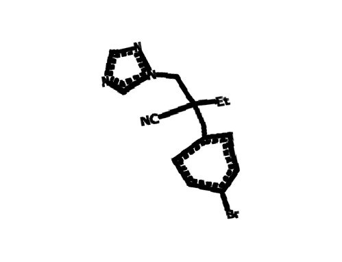 CCC(C#N)(Cn1cncn1)c1ccc(Br)cc1